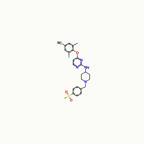 Cc1cc(C#N)cc(C)c1Oc1ccnc(NC2CCN(Cc3ccc(S(C)(=O)=O)cc3)CC2)n1